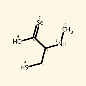 CNC(CS)C(O)=[Se]